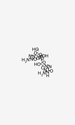 Nc1ncn([C@@H]2O[C@H](CO)C(OP(=O)(O)OC[C@H]3O[C@@H](n4cnc5c(=O)[nH]c(N)nc54)C(Cl)C3O)C2Cl)c(=O)n1